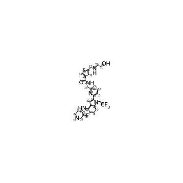 CN1CC[C@@H](Nc2cccc3c2cc(C2=C=COC(CNC(=O)c4csc(CNCCO)c4)=N2)n3CC(F)(F)F)[C@@H](F)C1